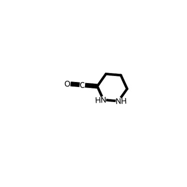 O=C=C1CCCNN1